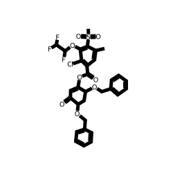 Cc1cc(C(=O)OC2=CC(=O)C(OCc3ccccc3)CC2OCc2ccccc2)c(Cl)c(OC(F)C(F)F)c1S(C)(=O)=O